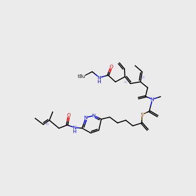 C=C/C(=C\C(=C/C)CC(=C)N(C)C(=C)SC(=C)CCCCc1ccc(NC(=O)C/C(C)=C/C)nn1)CC(=O)NCC(C)(C)C